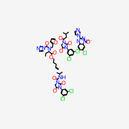 C=CCCCOC(=O)C(CC)N(Cc1ccco1)C(=O)n1ccnc1.CC(C)CC(=O)N1CC(=O)N(c2cc(Cl)cc(Cl)c2)C1=O.CC(C)NC(=O)N1CC(=O)N(c2cc(Cl)cc(Cl)c2)C1=O.[O-][n+]1nc(-n2ccnc2)nc2ccc(Cl)cc21